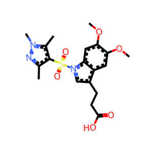 COc1cc2c(CCC(=O)O)cn(S(=O)(=O)c3c(C)nn(C)c3C)c2cc1OC